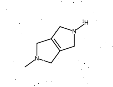 [3H]N1CC2=C(C1)CN(C)C2